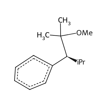 COC(C)(C)[C@H](c1ccccc1)C(C)C